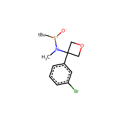 CN([S+]([O-])C(C)(C)C)C1(c2cccc(Br)c2)COC1